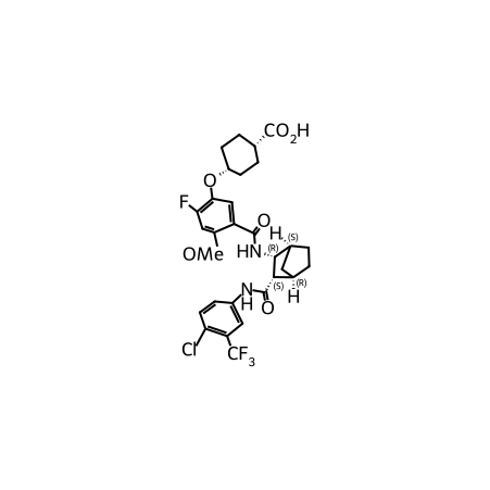 COc1cc(F)c(O[C@H]2CC[C@@H](C(=O)O)CC2)cc1C(=O)N[C@@H]1[C@H]2CC[C@H](C2)[C@@H]1C(=O)Nc1ccc(Cl)c(C(F)(F)F)c1